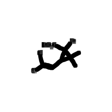 CCOC(=O)C1(CC)C(C=C(Cl)Cl)C1(C)C